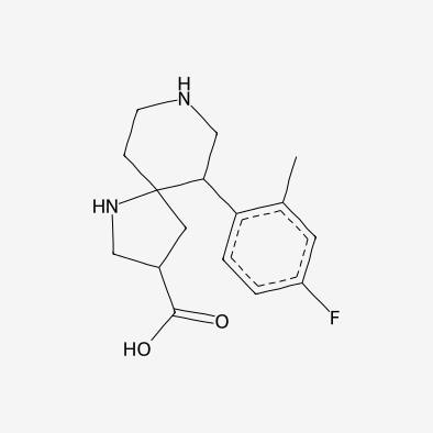 Cc1cc(F)ccc1C1CNCCC12CC(C(=O)O)CN2